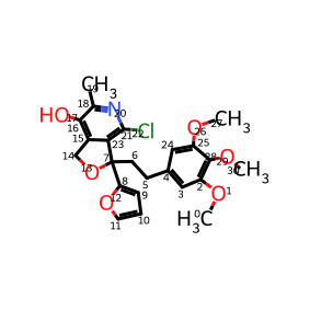 COc1cc(CCC2(c3ccco3)OCc3c(O)c(C)nc(Cl)c32)cc(OC)c1OC